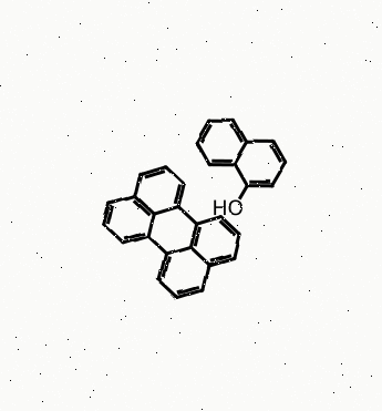 Oc1cccc2ccccc12.c1cc2cccc3c4cccc5cccc(c(c1)c23)c54